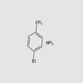 CCc1ccc(C)cc1.N